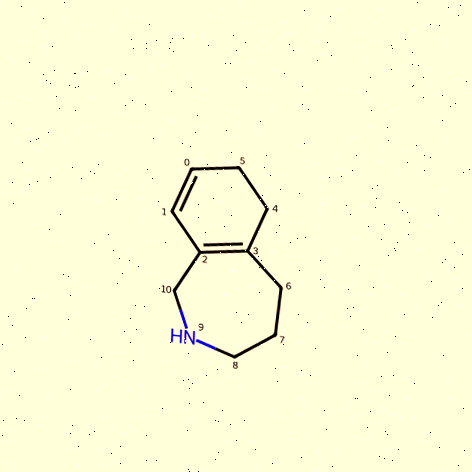 C1=CC2=C(CC1)CCCNC2